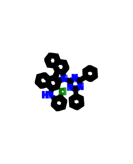 Clc1ccccc1Nc1cc2c(c3ccccc13)c1c3ccccc3ccc1n2-c1nc(-c2ccccc2)nc(-c2ccccc2)n1